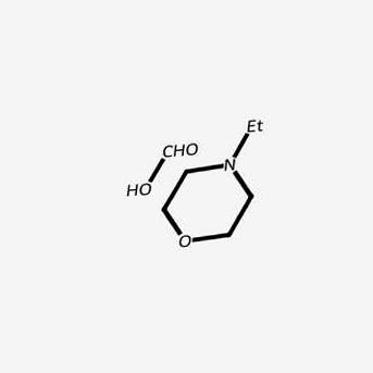 CCN1CCOCC1.O=CO